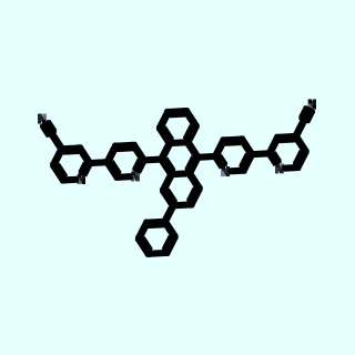 N#Cc1ccnc(-c2ccc(-c3c4ccccc4c(-c4ccc(-c5cc(C#N)ccn5)cn4)c4cc(-c5ccccc5)ccc34)nc2)c1